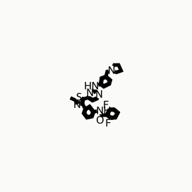 Cc1nc(-c2cccc(NC(=O)c3c(F)cccc3F)c2)c(-c2ccnc(Nc3cccc(CN4CCCC4)c3)n2)s1